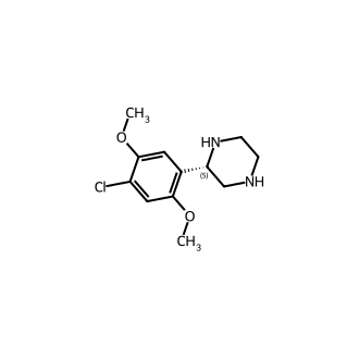 COc1cc([C@H]2CNCCN2)c(OC)cc1Cl